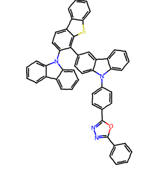 c1ccc(-c2nnc(-c3ccc(-n4c5ccccc5c5cc(-c6c(-n7c8ccccc8c8ccccc87)ccc7c6sc6ccccc67)ccc54)cc3)o2)cc1